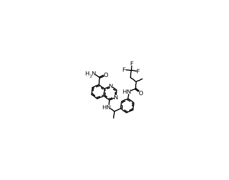 CC(CC(F)(F)F)C(=O)Nc1cccc(C(C)Nc2ncnc3c(C(N)=O)cccc23)c1